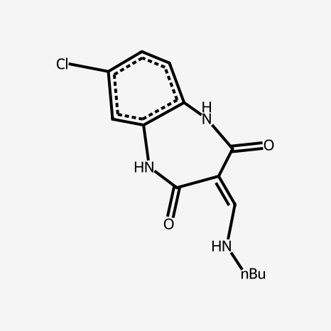 CCCCNC=C1C(=O)Nc2ccc(Cl)cc2NC1=O